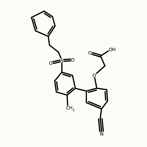 Cc1ccc(S(=O)(=O)CCc2ccccc2)cc1-c1cc(C#N)ccc1OCC(=O)O